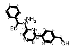 CCC(c1ccccc1)N(N)c1cncc(-c2ccc(CO)cc2)n1